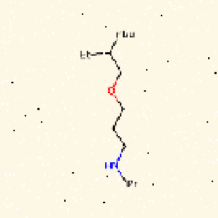 CCCCC(CC)COCCCNC(C)C